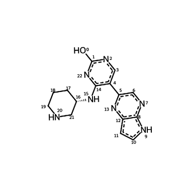 Oc1ncc(-c2cnc3[nH]ccc3n2)c(N[C@H]2CCCNC2)n1